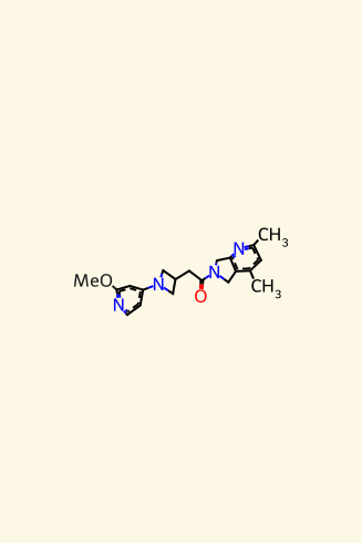 COc1cc(N2CC(CC(=O)N3Cc4nc(C)cc(C)c4C3)C2)ccn1